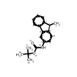 [CH2]C1c2ccccc2-c2cc(NC(=O)OC(C)(C)C)ccc21